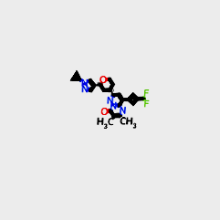 Cc1nc2c(C34CC(C(F)F)(C3)C4)cc([C@H]3CCO[C@@H](c4cnn(C5CC5)c4)C3)nn2c(=O)c1C